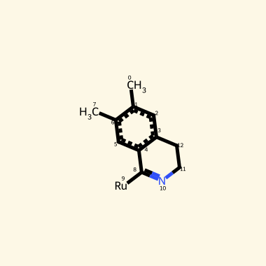 Cc1cc2c(cc1C)[C]([Ru])=NCC2